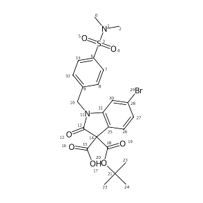 CN(C)S(=O)(=O)c1ccc(CN2C(=O)C(C(=O)O)(C(=O)OC(C)(C)C)c3ccc(Br)cc32)cc1